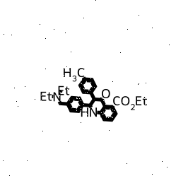 CCOC(=O)c1cccc2c1C(=O)C(c1ccc(C)cc1)C(c1ccc(CN(CC)CC)cc1)N2